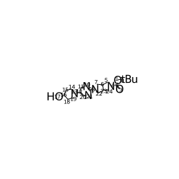 CC(C)(C)OC(=O)N1CC2CN(c3ncc(N4CCC(O)CC4)cn3)CC2C1